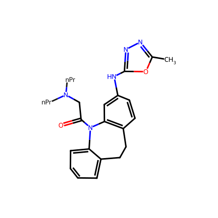 CCCN(CCC)CC(=O)N1c2ccccc2CCc2ccc(Nc3nnc(C)o3)cc21